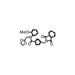 COc1ccccc1N(CC1OCCO1)C(=O)c1ccc(CN2C(=O)c3ccccc3C2=O)cc1